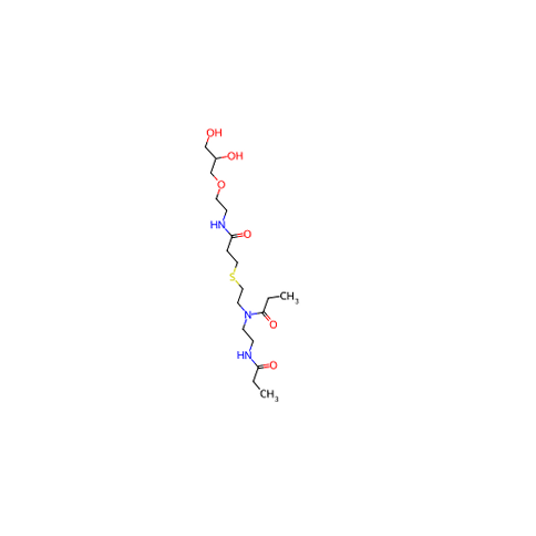 CCC(=O)NCCN(CCSCCC(=O)NCCOCC(O)CO)C(=O)CC